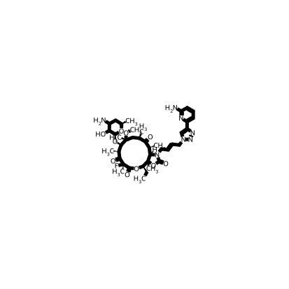 CC[C@H]1OC(=O)[C@@](C)(F)C(=O)[C@H](C)[C@@H](O[C@@H]2O[C@H](C)CC(N)C2O)[C@](C)(OC)C[C@@H](C)C(=O)[C@H](C)[C@H]2N(C/C=C/Cn3cc(-c4cccc(N)n4)nn3)C(=O)O[C@]12C